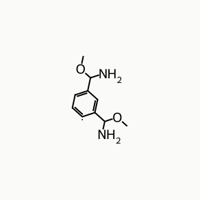 COC(N)c1[c]ccc(C(N)OC)c1